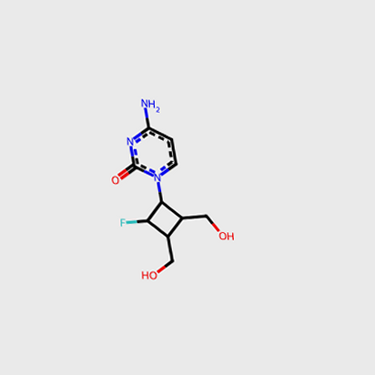 Nc1ccn(C2C(F)C(CO)C2CO)c(=O)n1